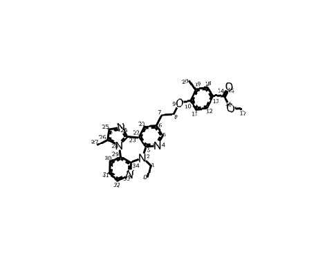 CCN1c2ncc(CCOc3ccc(C(=O)OC)cc3C)cc2-c2ncc(C)n2-c2cccnc21